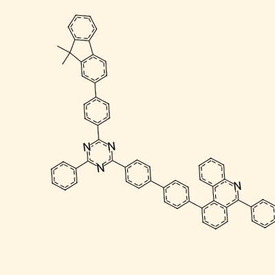 CC1(C)c2ccccc2-c2ccc(-c3ccc(-c4nc(-c5ccccc5)nc(-c5ccc(-c6ccc(-c7cccc8c(-c9ccccc9)nc9ccccc9c78)cc6)cc5)n4)cc3)cc21